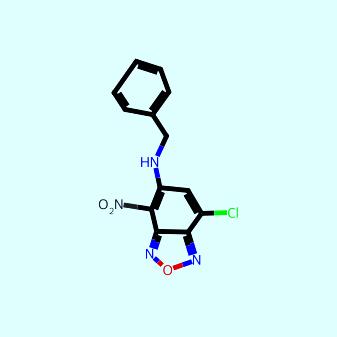 O=[N+]([O-])c1c(NCc2ccccc2)cc(Cl)c2nonc12